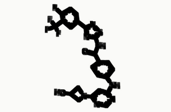 O=C(Nc1nc(-c2ccc(F)c(C(F)(F)F)c2)ns1)c1ccc(Nc2cc(N3CC(O)C3)ncn2)cc1